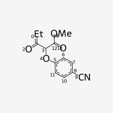 CCC(=O)C(Oc1ccc(C#N)cc1)C(=O)OC